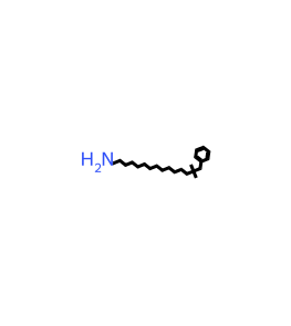 CC(C)(CCCCCCCCCCCCCN)Cc1ccccc1